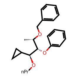 CCCO[C@@H](C1CC1)[C@@H](Oc1ccccc1)[C@H](C)OCc1ccccc1